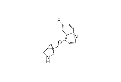 Fc1ccc2nccc(OCC34C5CNC3C54)c2c1